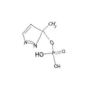 CC1(OP(=O)(O)O)C=CN=N1